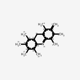 C=c1c(C)c(C)c2c(c1C)Cc1c(C)c(C)c(C)c(C)c1N=2